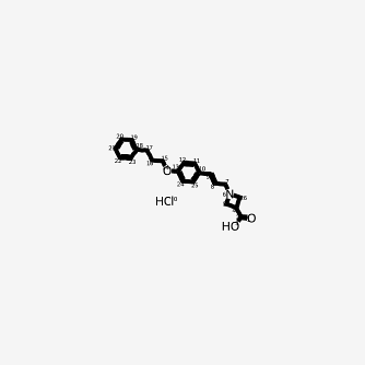 Cl.O=C(O)C1CN(C/C=C/c2ccc(OCCCc3ccccc3)cc2)C1